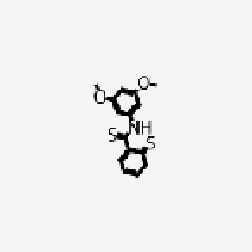 COc1cc(NC(=S)C2=CC=CCC2=S)cc(OC)c1